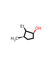 CCC1[C@H](C)CC[C@@H]1O